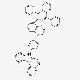 c1ccc(-c2c3c(c(-c4ccccc4)c4ccccc24)-c2ccc(-c4ccc(-n5c6cccnc6c6c7ccccc7ncc65)cc4)c4cccc-3c24)cc1